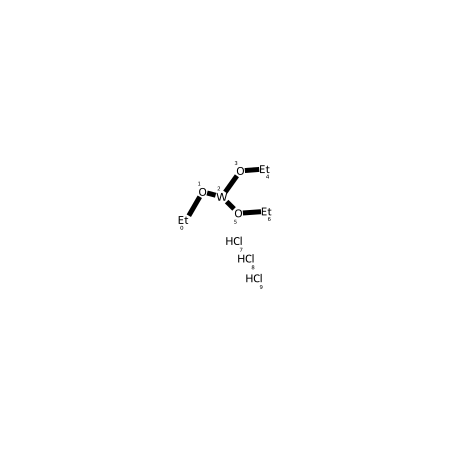 CC[O][W]([O]CC)[O]CC.Cl.Cl.Cl